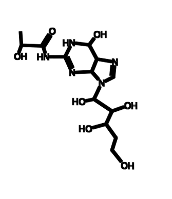 CC(O)C(=O)NC1=NC2C(N=CN2C(O)C(O)C(O)CCO)C(O)N1